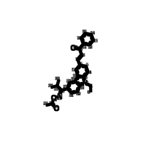 CCn1c2ccc(C=CC(=O)c3ccccc3)cc2c2cc(C(=NOC(C)=O)C(C)C)ccc21